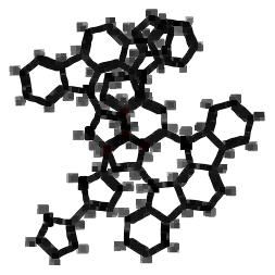 c1cc(-n2c3ccccc3c3ccc4c5ccccc5n(-c5ccc(-c6ccc(-c7cccs7)s6)s5)c4c32)cc(-n2c3ccccc3c3ccc4c5ccccc5n(-c5ccc(-c6ccc(-c7cccs7)s6)s5)c4c32)c1